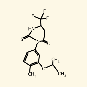 Cc1ccc(N2C(=O)CC(C(F)(F)F)NC2=S)cc1OC(C)C